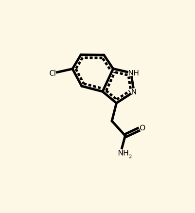 NC(=O)Cc1n[nH]c2ccc(Cl)cc12